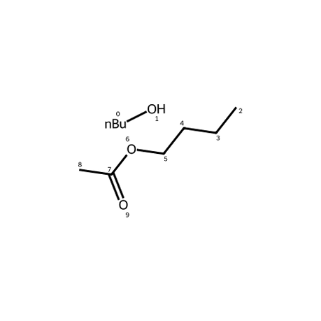 CCCCO.CCCCOC(C)=O